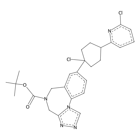 CC(C)(C)OC(=O)N1Cc2cc(C3(Cl)CCC(c4cccc(Cl)n4)CC3)ccc2-n2cnnc2C1